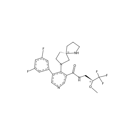 CO[C@@H](CNC(=O)c1cncc(-c2cc(F)cc(F)c2)c1N1CC[C@@]2(CCCN2)C1)C(F)(F)F